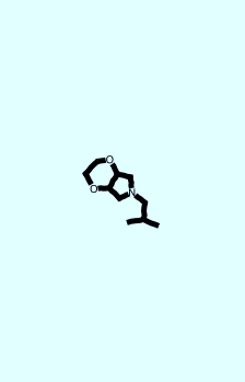 CC(C)CN1CC2OCCOC2C1